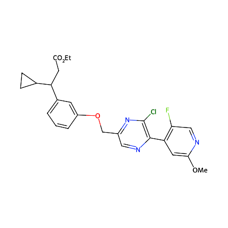 CCOC(=O)CC(c1cccc(OCc2cnc(-c3cc(OC)ncc3F)c(Cl)n2)c1)C1CC1